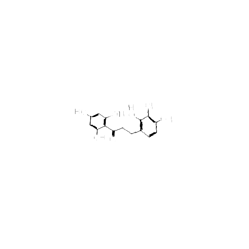 O=C(CCc1ccc(O)c(O)c1O)c1c(O)cc(O)cc1O